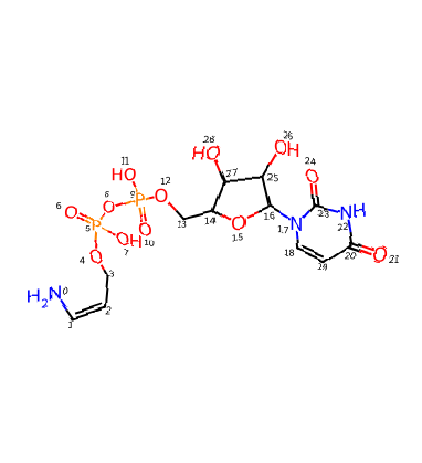 N/C=C\COP(=O)(O)OP(=O)(O)OCC1OC(n2ccc(=O)[nH]c2=O)C(O)C1O